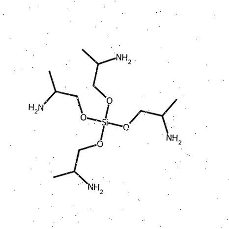 CC(N)CO[Si](OCC(C)N)(OCC(C)N)OCC(C)N